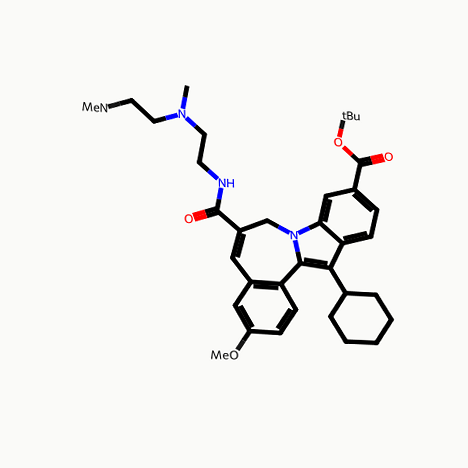 CNCCN(C)CCNC(=O)C1=Cc2cc(OC)ccc2-c2c(C3CCCCC3)c3ccc(C(=O)OC(C)(C)C)cc3n2C1